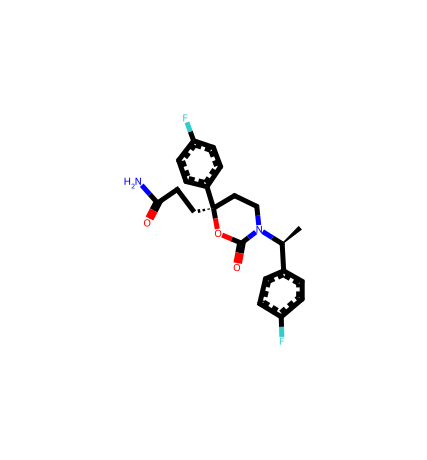 C[C@@H](c1ccc(F)cc1)N1CC[C@](CCC(N)=O)(c2ccc(F)cc2)OC1=O